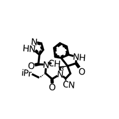 CC(C)C[C@@H](C(=O)N1C[C@]2(C[C@H]1C#N)C(=O)Nc1ccccc12)N(C)C(=O)c1ccn[nH]1